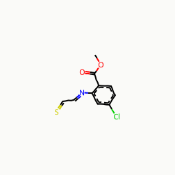 COC(=O)c1ccc(Cl)cc1N=CC=S